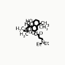 C=C[C@@]1(C)CC(=O)[C@@]2(O)[C@](C)(O1)[C@@H](OC(=O)CCN(CC)CC)C=C1C(C)(C)CC[C@H](O)[C@@]12C